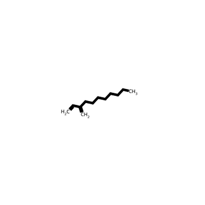 C=CC(=C)CCCCCCCC